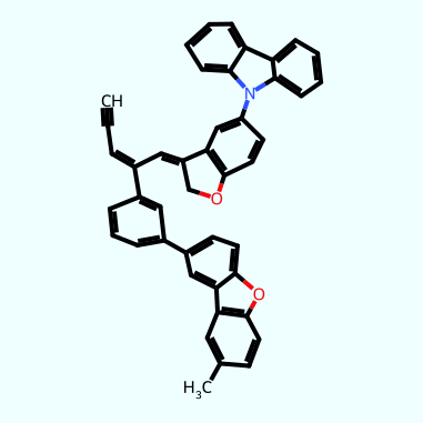 C#C/C=C(\C=C1/COc2ccc(-n3c4ccccc4c4ccccc43)cc21)c1cccc(-c2ccc3oc4ccc(C)cc4c3c2)c1